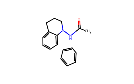 CC(=O)NN1CCCc2ccccc21.c1ccccc1